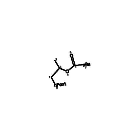 CCCCCCC(C)OC(=O)CCCC